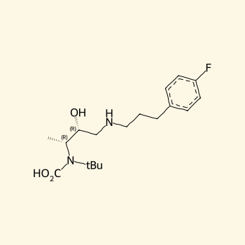 C[C@H]([C@H](O)CNCCCc1ccc(F)cc1)N(C(=O)O)C(C)(C)C